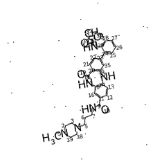 CN1CCN(CCCNC(=O)c2ccc3c(c2)NC(=O)c2ccc(-c4ccccc4NS(C)(=O)=O)cc2N3)CC1